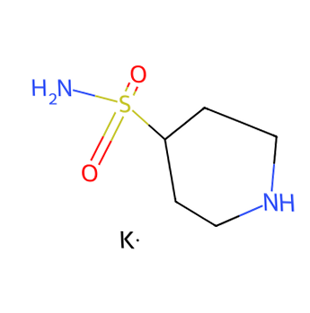 NS(=O)(=O)C1CCNCC1.[K]